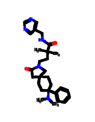 CN(C)[C@]1(c2ccccc2)CC[C@@]2(CC1)CC(=O)N(CCC(C)(C)C(=O)NCc1cncnc1)C2